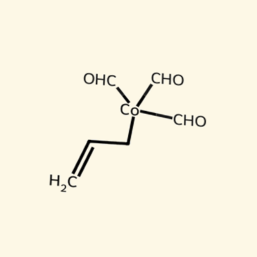 C=C[CH2][Co]([CH]=O)([CH]=O)[CH]=O